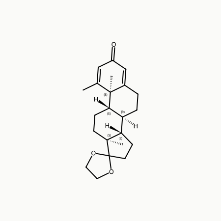 CC1=CC(=O)C=C2CC[C@@H]3[C@H](CC[C@@]4(C)[C@H]3CCC43OCCO3)[C@@]12C